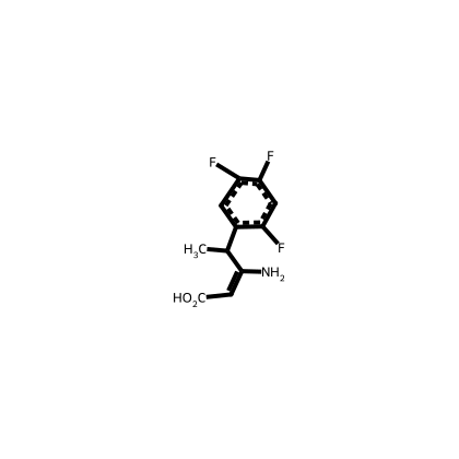 CC(/C(N)=C\C(=O)O)c1cc(F)c(F)cc1F